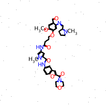 COc1cc(C=O)c(/N=C\C2CCCN2C)cc1OCCCC(=O)Nc1cc(C(=O)Nc2ccc3oc(C(=O)N4CCOCC4)cc3c2)n(C)c1